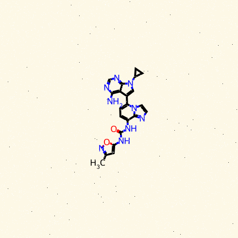 Cc1cc(NC(=O)Nc2ccc(-c3cn(C4CC4)c4ncnc(N)c34)n3ccnc23)on1